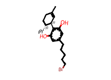 CC1=C[C@@H](c2c(O)cc(CCCCCBr)cc2O)[C@H](C(C)C)CC1